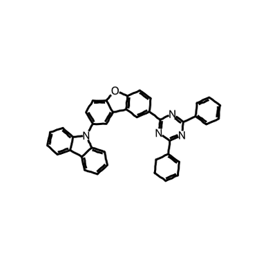 C1=CCCC(c2nc(-c3ccccc3)nc(-c3ccc4oc5ccc(-n6c7ccccc7c7ccccc76)cc5c4c3)n2)=C1